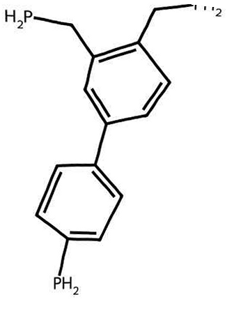 PCc1ccc(-c2ccc(P)cc2)cc1CP